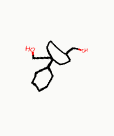 OCC1CCC(CO)(C2CCCCC2)CC1